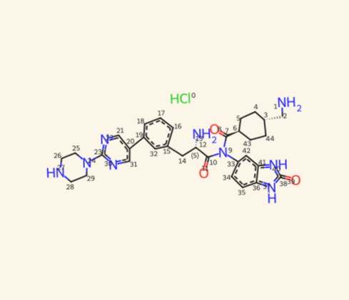 Cl.NC[C@H]1CC[C@H](C(=O)N(C(=O)[C@@H](N)Cc2cccc(-c3cnc(N4CCNCC4)nc3)c2)c2ccc3[nH]c(=O)[nH]c3c2)CC1